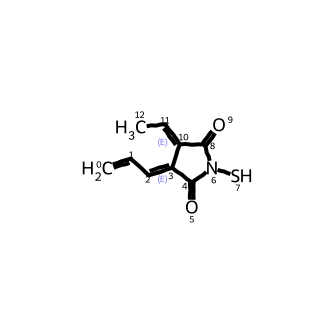 C=C/C=C1/C(=O)N(S)C(=O)/C1=C/C